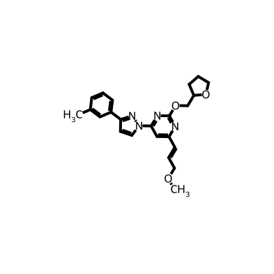 COC/C=C/c1cc(-n2ccc(-c3cccc(C)c3)n2)nc(OCC2CCCO2)n1